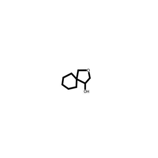 OC1COCC12CCCCC2